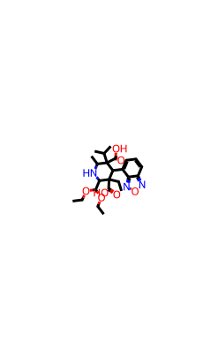 CCOC(OCC)C1NC(C)C(C(=O)O)(C(C)C)C(c2cccc3nonc23)C1(CC)C(=O)O